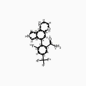 NC(=O)c1cc(C(F)(F)F)cc(F)c1-c1cc2occnc2c2cncc12